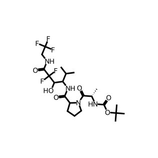 CC(C)C(NC(=O)C1CCCN1C(=O)[C@H](C)NC(=O)OC(C)(C)C)C(O)C(F)(F)C(=O)NCC(F)(F)F